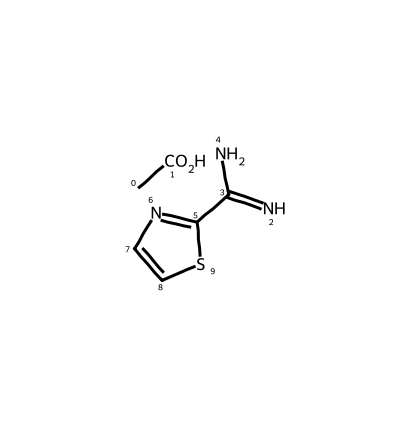 CC(=O)O.N=C(N)c1nccs1